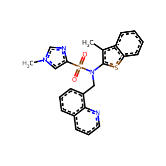 Cc1c(N(Cc2cccc3cccnc23)S(=O)(=O)c2cn(C)cn2)sc2ccccc12